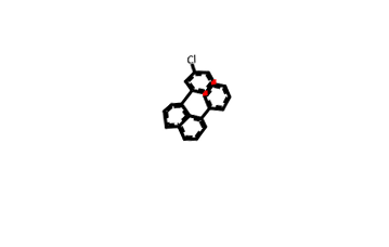 Clc1cccc(-c2cccc3cccc(-c4ccccc4)c23)c1